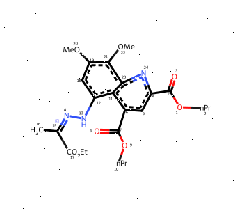 CCCOC(=O)c1cc(C(=O)OCCC)c2c(N/N=C(/C)C(=O)OCC)cc(OC)c(OC)c2n1